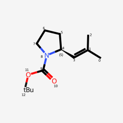 CC(C)=C[C@@H]1CCCN1C(=O)OC(C)(C)C